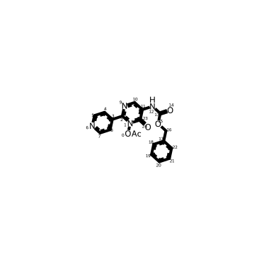 CC(=O)On1c(-c2ccncc2)ncc(NC(=O)OCc2ccccc2)c1=O